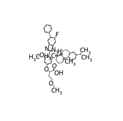 CCOCCC(Oc1ccc(-c2nc3cc(-c4ccccc4)c(F)cc3n2C[C@@]2(C)CCC[C@]3(C)c4ccc(C(C)C)cc4CC[C@@H]23)c(OC)c1)C(=O)O